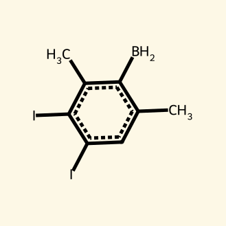 Bc1c(C)cc(I)c(I)c1C